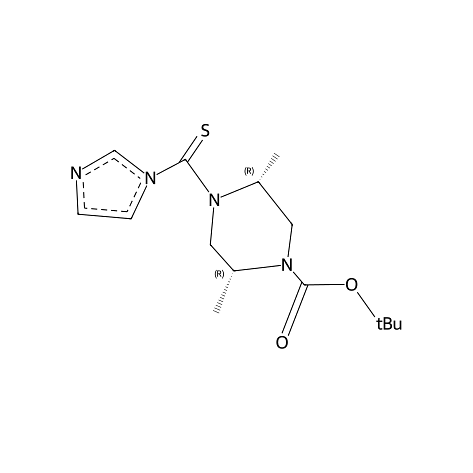 C[C@@H]1CN(C(=S)n2ccnc2)[C@H](C)CN1C(=O)OC(C)(C)C